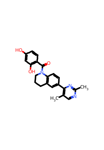 Cc1ncc(C)c(-c2ccc3c(c2)CCCN3C(=O)c2ccc(O)cc2O)n1